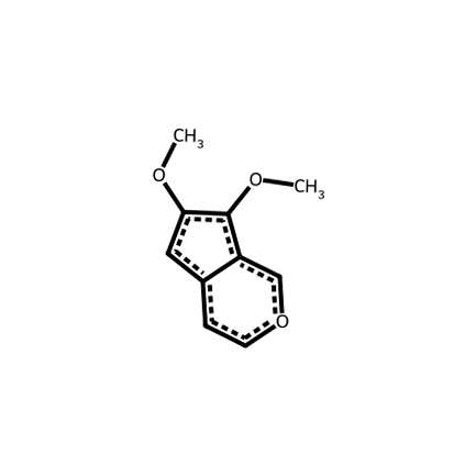 COc1cc2ccocc-2c1OC